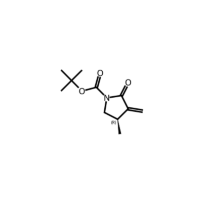 C=C1C(=O)N(C(=O)OC(C)(C)C)C[C@@H]1C